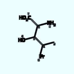 CC(C)C(C)C(O)C(N)C(=O)O